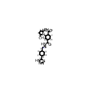 Cc1ccc(C)n1-c1cc(C(=O)N/N=C/c2ccc(-c3nnn[nH]3)cc2)ccc1C(=O)O